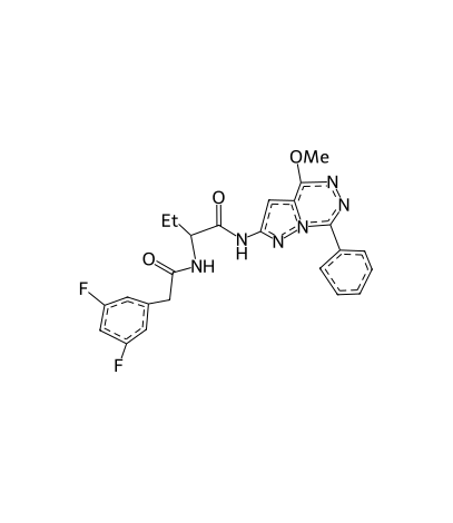 CCC(NC(=O)Cc1cc(F)cc(F)c1)C(=O)Nc1cc2c(OC)nnc(-c3ccccc3)n2n1